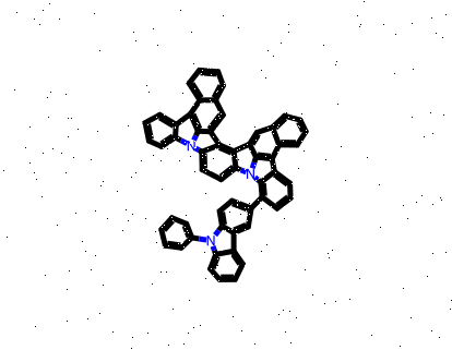 c1ccc(-n2c3ccccc3c3cc(-c4cccc5c6c7ccccc7cc7c8c9c%10cc%11ccccc%11c%11c%12ccccc%12n(c9ccc8n(c45)c76)c%10%11)ccc32)cc1